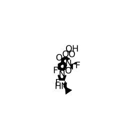 O=C(O)Oc1cn2c3c(c(N4C[C@H](CNC5CC5)[C@@H](F)C4)c(F)cc3c1=O)OC[C@@H]2CF